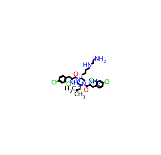 CC(C)C[C@H]1CN(C(=O)C(N)Cc2ccc(Cl)cc2Cl)[C@H](CCCCNCCN)CN1C(=O)C(N)Cc1ccc(Cl)cc1Cl